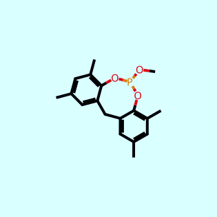 COP1Oc2c(C)cc(C)cc2Cc2cc(C)cc(C)c2O1